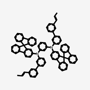 CC=Cc1cccc(-c2cccc(N(c3cccc(N(c4cccc(-c5cccc(C=CC)c5)c4)c4ccc5c(c4)C4(c6ccccc6-c6ccccc64)c4ccccc4-5)c3)c3ccc4c(c3)C3(c5ccccc5-c5ccccc53)c3ccccc3-4)c2)c1